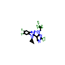 Fc1cc2nc(-c3cnc(Cl)nc3NCC(F)(F)F)n(C3CC3)c2cc1F